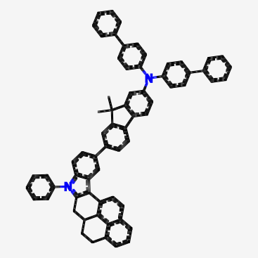 CC1(C)c2cc(-c3ccc4c(c3)c3c(n4-c4ccccc4)CC4CCc5cccc6ccc-3c4c56)ccc2-c2ccc(N(c3ccc(-c4ccccc4)cc3)c3ccc(-c4ccccc4)cc3)cc21